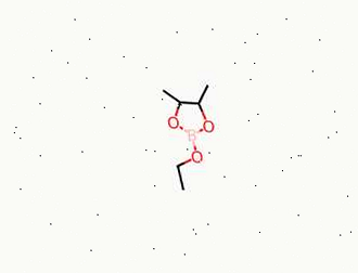 CCOB1OC(C)C(C)O1